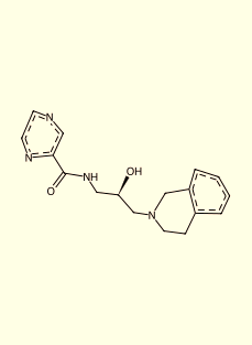 O=C(NC[C@@H](O)CN1CCc2ccccc2C1)c1cnccn1